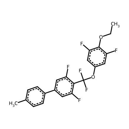 CCOc1c(F)cc(OC(F)(F)c2c(F)cc(-c3ccc(C)cc3)cc2F)cc1F